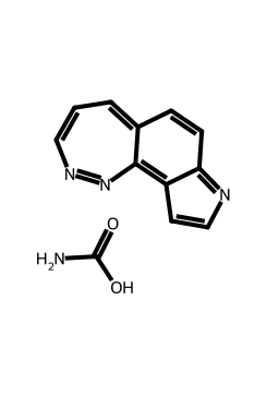 NC(=O)O.c1cnnc2c(c1)ccc1nccc12